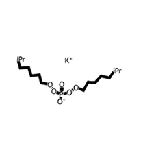 CC(C)CCCCCOOP(=O)([O-])OOCCCCCC(C)C.[K+]